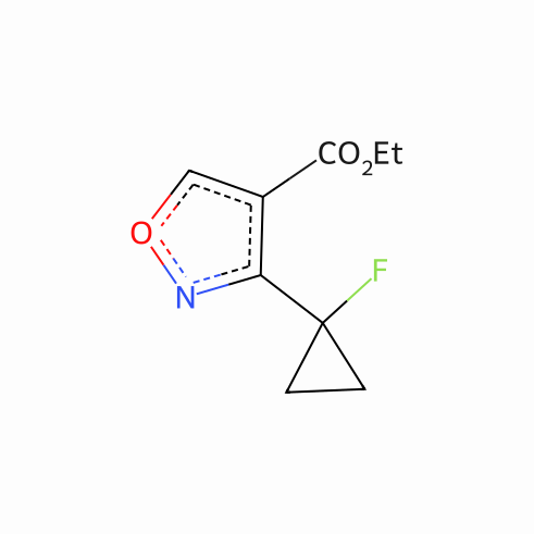 CCOC(=O)c1conc1C1(F)CC1